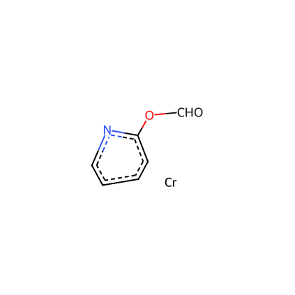 O=COc1ccccn1.[Cr]